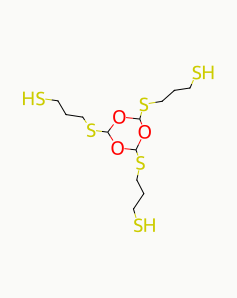 SCCCSC1OC(SCCCS)OC(SCCCS)O1